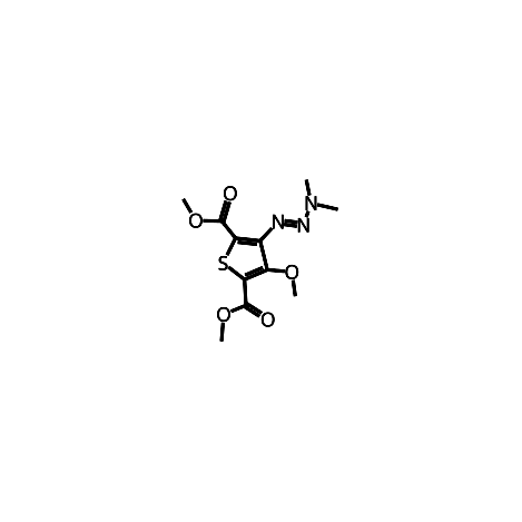 COC(=O)c1sc(C(=O)OC)c(OC)c1/N=N/N(C)C